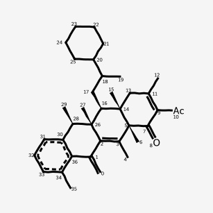 C=C1C2=C(C)[C@@]3(C)C(=O)C(C(C)=O)=C(C)C[C@@]3(C)[C@H](CC(C)C3CCCCC3)[C@@]2(C)[C@H](C)c2cccc(C)c21